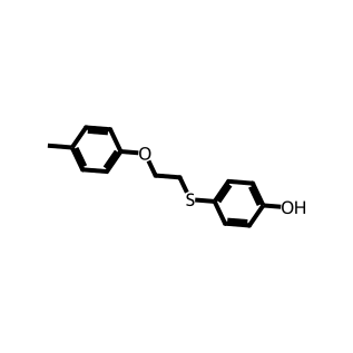 Cc1ccc(OCCSc2ccc(O)cc2)cc1